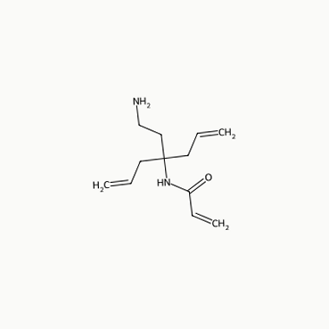 C=CCC(CC=C)(CCN)NC(=O)C=C